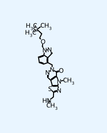 CNCc1nc2c(s1)c1cnn(Cc3cccc4c3cnn4COCC[Si](C)(C)C)c(=O)c1n2C